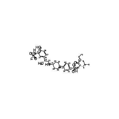 CCOC(=O)[C@H](CC(C)C)NS(=O)(=O)c1ccc(N2CCC(NC[C@H](O)c3ccc(O)c(NS(C)(=O)=O)c3)CC2)cc1